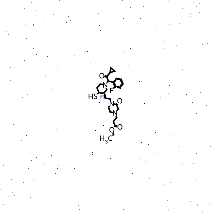 CCOC(=O)CCN1CCN(C/C=C2\CN(C(C(=O)C3CC3)c3ccccc3F)CCC2S)C(=O)C1